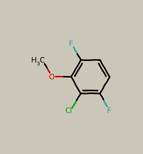 COc1c(F)ccc(F)c1Cl